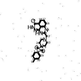 Cc1ccc(S(=O)(=O)N2CCN(CC3=Nc4cccc5c(=O)[nH]nc(c45)N3)CC2)cc1